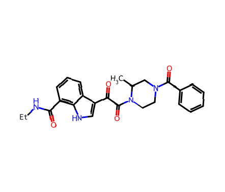 CCNC(=O)c1cccc2c(C(=O)C(=O)N3CCN(C(=O)c4ccccc4)CC3C)c[nH]c12